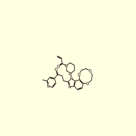 C=CC(=O)N1CCC[C@@H](n2c(CCC(=O)c3ccnc(C)c3)nc3ccc4c(c32)OCCOCCO4)C1